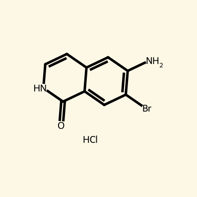 Cl.Nc1cc2cc[nH]c(=O)c2cc1Br